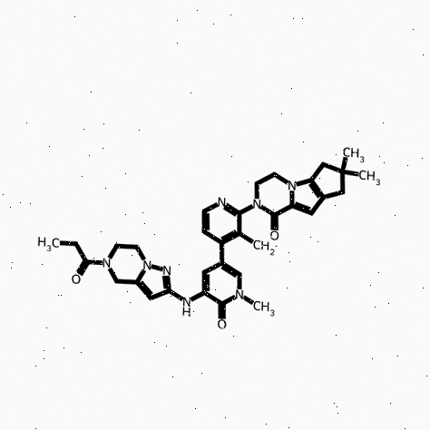 [CH2]c1c(-c2cc(Nc3cc4n(n3)CCN(C(=O)CC)C4)c(=O)n(C)c2)ccnc1N1CCn2c(cc3c2CC(C)(C)C3)C1=O